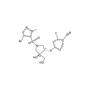 Cn1ncc(Br)c1S(=O)(=O)N1C[C@H](Oc2ccc(C#N)c(F)c2)[C@](O)(CO)C1